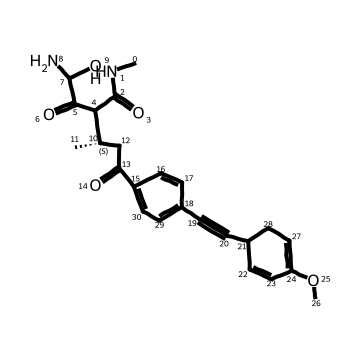 CNC(=O)C(C(=O)C(N)O)[C@@H](C)CC(=O)c1ccc(C#CC2C=CC(OC)=CC2)cc1